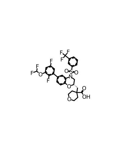 O=C(O)C1(C[C@H]2CN(S(=O)(=O)c3cccc(C(F)(F)F)c3)c3cc(-c4cc(F)cc(OC(F)F)c4F)ccc3O2)CCOCC1